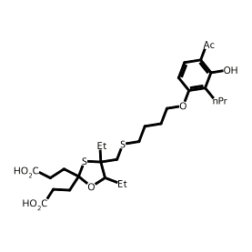 CCCc1c(OCCCCSCC2(CC)SC(CCC(=O)O)(CCC(=O)O)OC2CC)ccc(C(C)=O)c1O